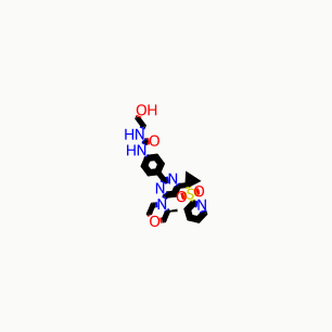 C[C@H]1COCCN1c1cc(C2(S(=O)(=O)c3ccccn3)CC2)nc(-c2ccc(NC(=O)NCCO)cc2)n1